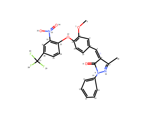 COc1cc(/C=C2\C(=O)N(c3ccccc3)N=C2C)ccc1Oc1ccc(C(F)(F)F)cc1[N+](=O)[O-]